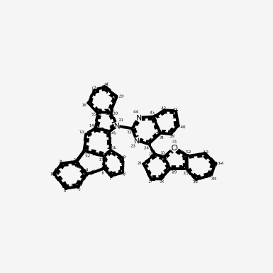 c1ccc2c(c1)-c1cccc3c1c-2cc1c2ccccc2n(-c2nc(-c4cccc5c4oc4ccccc45)c4ccccc4n2)c31